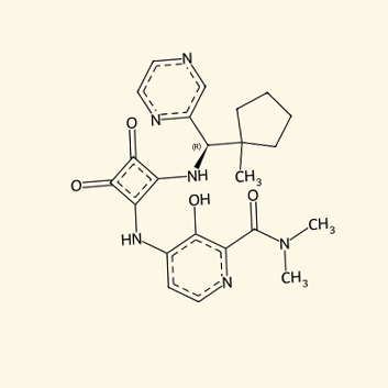 CN(C)C(=O)c1nccc(Nc2c(N[C@@H](c3cnccn3)C3(C)CCCC3)c(=O)c2=O)c1O